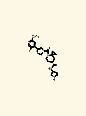 COc1cc(C2=CN(C(=O)N3CC[C@H](C(=O)NC4CCNC4)CC34CC4)CO2)c(F)cn1